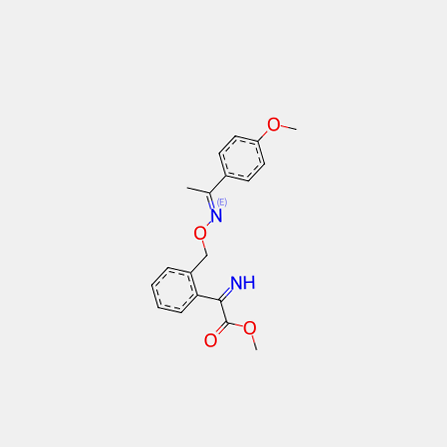 COC(=O)C(=N)c1ccccc1CO/N=C(\C)c1ccc(OC)cc1